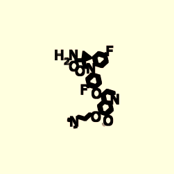 COc1cc2nccc(Oc3ccc(N(C(=O)C4(C(N)=O)CC4)c4ccc(F)cc4)cc3F)c2cc1OCCCN(C)C